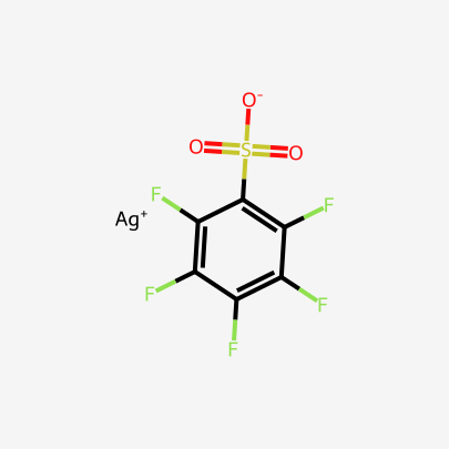 O=S(=O)([O-])c1c(F)c(F)c(F)c(F)c1F.[Ag+]